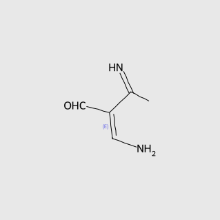 CC(=N)/C(C=O)=C\N